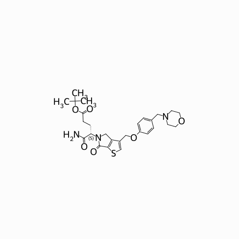 CC(C)(C)OC(=O)CC[C@@H](C(N)=O)N1Cc2c(COc3ccc(CN4CCOCC4)cc3)csc2C1=O